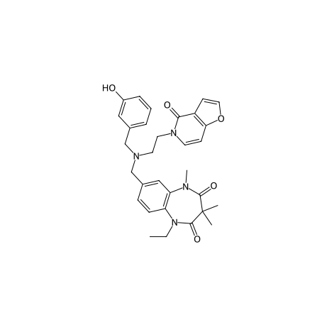 CCN1C(=O)C(C)(C)C(=O)N(C)c2cc(CN(CCn3ccc4occc4c3=O)Cc3cccc(O)c3)ccc21